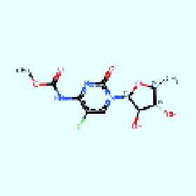 CCCCOC(=O)Nc1nc(=O)n([C@H]2O[C@H](C)[C@H](O)C2O)cc1F